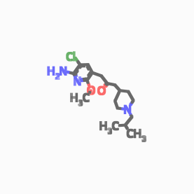 COc1nc(N)c(Cl)cc1CC(=O)CC1CCN(CC(C)C)CC1